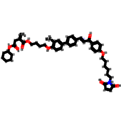 C=C(CC(=O)OC1CCCCC1)C(=O)OCCCCOc1ccc(-c2ccc(/C=C/C(=O)c3ccc(OCCCCCCN4C(=O)C=CC4=O)cc3)cc2)cc1C